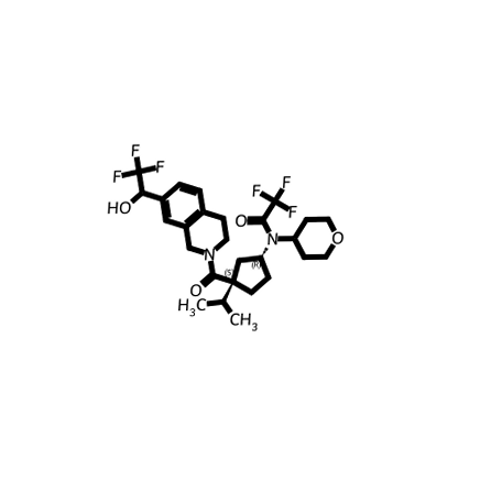 CC(C)[C@]1(C(=O)N2CCc3ccc(C(O)C(F)(F)F)cc3C2)CC[C@@H](N(C(=O)C(F)(F)F)C2CCOCC2)C1